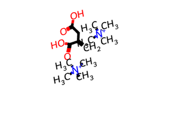 C=C(CC(=O)O)C(=O)O.C[N+](C)(C)C.C[N+](C)(C)C